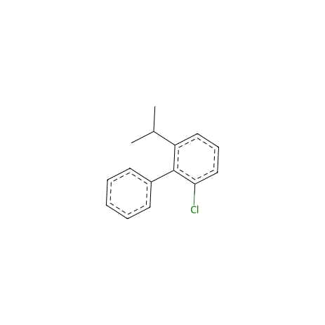 CC(C)c1cccc(Cl)c1-c1ccccc1